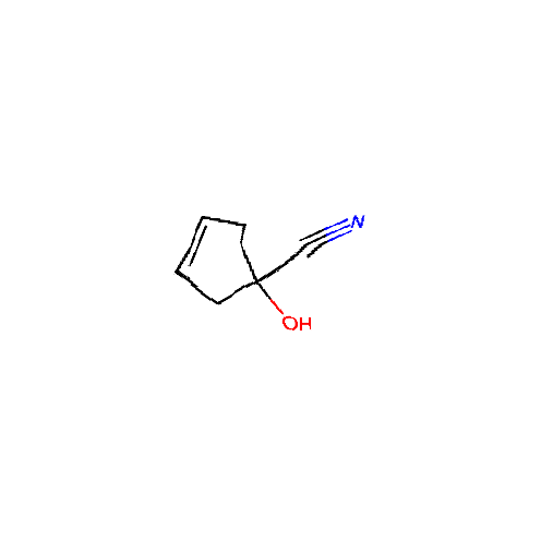 N#CC1(O)CC=CC1